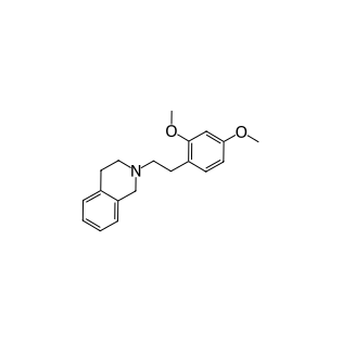 COc1ccc(CCN2CCc3ccccc3C2)c(OC)c1